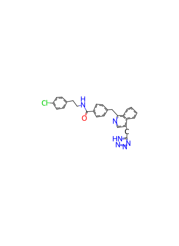 O=C(NCCc1ccc(Cl)cc1)c1ccc(Cc2ncc(Cc3nnn[nH]3)c3ccccc23)cc1